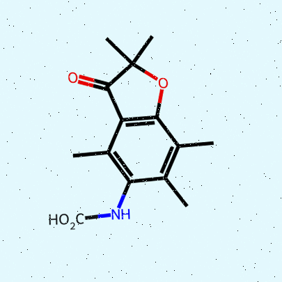 Cc1c(C)c2c(c(C)c1NC(=O)O)C(=O)C(C)(C)O2